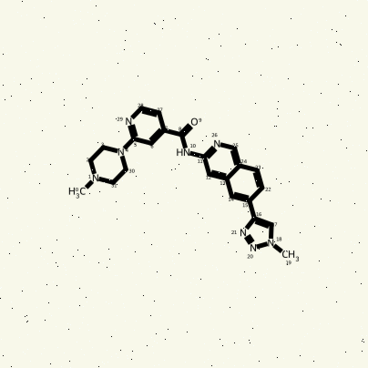 CN1CCN(c2cc(C(=O)Nc3cc4cc(-c5cn(C)nn5)ccc4cn3)ccn2)CC1